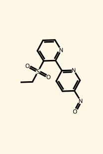 CCS(=O)(=O)c1cccnc1-c1ccc(N=O)cn1